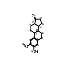 COc1cc2c(cc1O)CCC1C2CCC2C(=O)CCC21